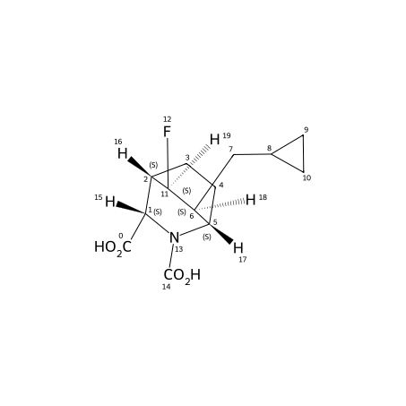 O=C(O)[C@@H]1[C@@H]2CC[C@@H]([C@H](CC3CC3)[C@@H]2F)N1C(=O)O